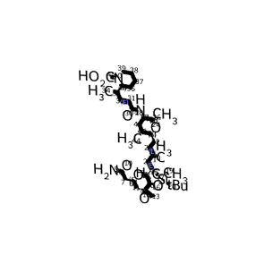 CC(/C=C/[C@H]1O[C@H](CC(N)=O)C[C@@]2(CO2)[C@@H]1O[Si](C)(C)C(C)(C)C)=C\C[C@@H]1O[C@H](C)[C@H](NC(=O)/C=C/C(C)[C@@H]2CCCCN2C(=O)O)C[C@@H]1C